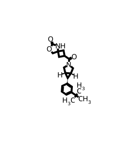 CC(C)(C)c1cccc([C@@H]2[C@@H]3CN(C(=O)C4CC5(COC(=O)N5)C4)C[C@@H]32)c1